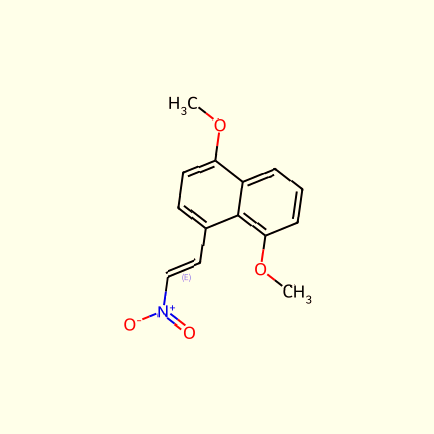 COc1ccc(/C=C/[N+](=O)[O-])c2c(OC)cccc12